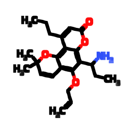 C=CCOc1c2c(c3c(CCC)cc(=O)oc3c1C(N)CC)OC(C)(C)C=C2